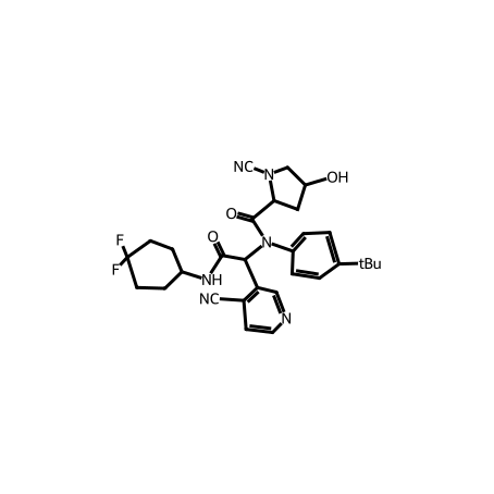 CC(C)(C)c1ccc(N(C(=O)C2CC(O)CN2C#N)C(C(=O)NC2CCC(F)(F)CC2)c2cnccc2C#N)cc1